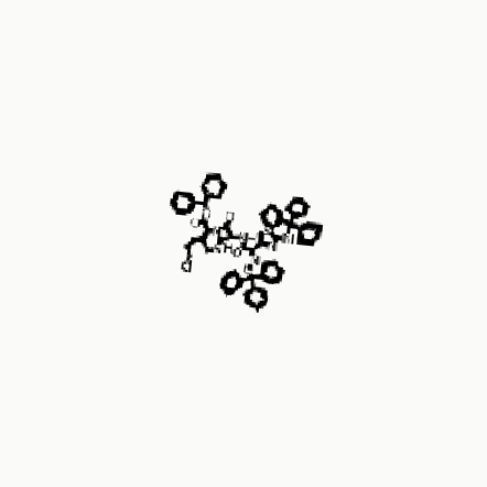 O=C(OC(c1ccccc1)c1ccccc1)C1=C(/C=C\CCl)CS[C@@H]2C(NC(=O)/C(=N\OC(c3ccccc3)(c3ccccc3)c3ccccc3)c3csc(NC(c4ccccc4)(c4ccccc4)c4ccccc4)n3)C(=O)N12